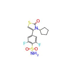 NS(=O)(=O)c1c(F)cc(-c2csc(=O)n2C2CCCC2)cc1F